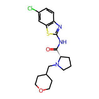 O=C(Nc1nc2ccc(Cl)cc2s1)[C@@H]1CCCN1CC1CCOCC1